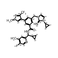 Cc1cc(C(NC(=O)c2cc(Cn3ccn(C4CC4)c3=N)cc(-c3cn(C)nc3C(F)(F)F)c2)C2CC2)ncc1F